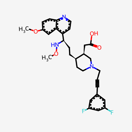 CON[C@H](CC[C@@H]1CCN(CC#Cc2cc(F)cc(F)c2)C[C@@H]1CC(=O)O)c1ccnc2ccc(OC)cc12